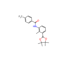 Cc1c(NC(=O)c2ccc(C(F)(F)F)cc2)cccc1B1OC(C)(C)C(C)(C)O1